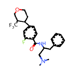 CN(C)CC(Cc1ccccc1)NC(=O)c1ccc(C2CCOCC2C(F)(F)F)cc1F